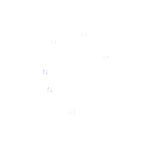 COC(=O)c1cc(Cl)nn(C)c1=O